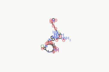 COc1cc2cc(c1Cl)N(C)C(=O)C[C@H](OC(=O)[C@H](C)N(C)C(=O)c1ccc(NC(=O)[C@H](CCCNC(N)=O)NC(=O)[C@@H](NC(=S)NCCOCCOCCC(=O)ON3C(=O)CCC3=O)C(C)C)c3ncccc13)[C@]1(C)O[C@H]1[C@H](C)[C@@H]1C[C@@](O)(NC(=O)O1)[C@H](OC)/C=C/C=C(\C)C2